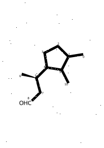 CC1CCC([C@H](C)CC=O)C1C